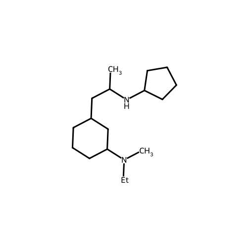 CCN(C)C1CCCC(CC(C)NC2CCCC2)C1